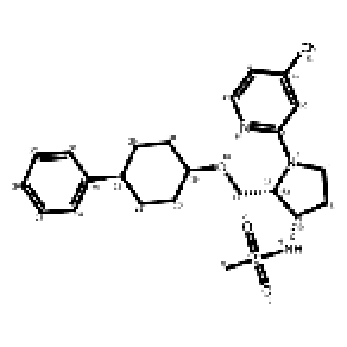 CS(=O)(=O)N[C@H]1CCN(c2cc(C#N)ccn2)[C@H]1CO[C@H]1CC[C@@H](c2ccccc2)CC1